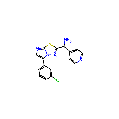 NC(c1ccncc1)c1nn2c(-c3cccc(Cl)c3)cnc2s1